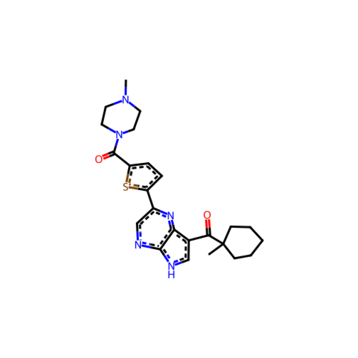 CN1CCN(C(=O)c2ccc(-c3cnc4[nH]cc(C(=O)C5(C)CCCCC5)c4n3)s2)CC1